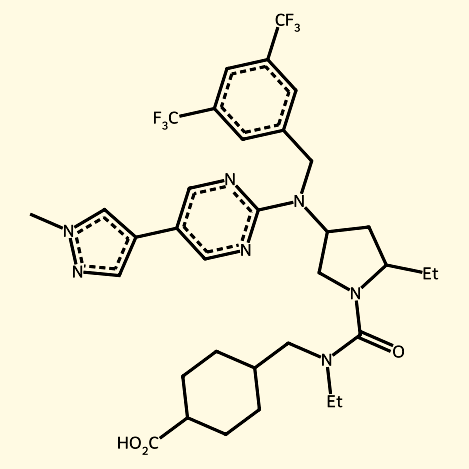 CCC1CC(N(Cc2cc(C(F)(F)F)cc(C(F)(F)F)c2)c2ncc(-c3cnn(C)c3)cn2)CN1C(=O)N(CC)CC1CCC(C(=O)O)CC1